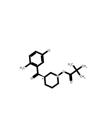 Cc1ccc(Cl)cc1C(=O)[C@@H]1CCCN(OC(=O)C(C)(C)C)C1